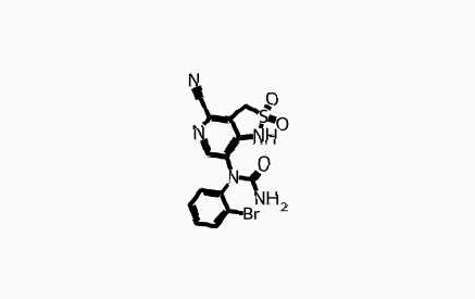 N#Cc1ncc(N(C(N)=O)c2ccccc2Br)c2c1CS(=O)(=O)N2